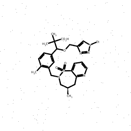 CCn1cc(COC(c2ccc(C)c(CN3C[C@H](C)Cc4ncccc4S3(=O)=O)c2)C(C)(C)C(=O)O)nn1